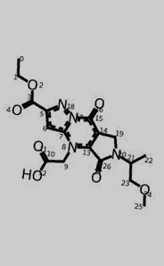 CCOC(=O)c1cc2n(CC(=O)O)c3c(c(=O)n2n1)CN(C(C)COC)C3=O